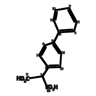 O=C(O)C(c1ccc(-c2ccccc2)cc1)S(=O)(=O)O